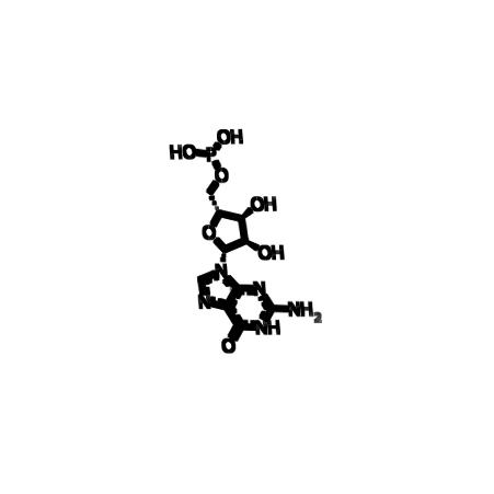 Nc1nc2c(ncn2[C@@H]2O[C@H](COP(O)O)[C@@H](O)[C@H]2O)c(=O)[nH]1